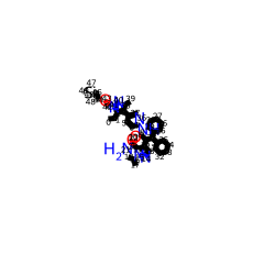 CCc1c(-c2ccc(NC(=O)C(c3cnn(C(C)C)c3C(N)=O)C(C3CCCCC3)C3CCCCC3)nc2)c(C)nn1COCC[Si](C)(C)C